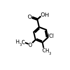 COc1cc(C(=O)O)ccc1C.Cl